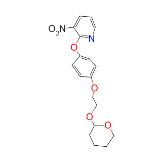 O=[N+]([O-])c1cccnc1Oc1ccc(OCCOC2CCCCO2)cc1